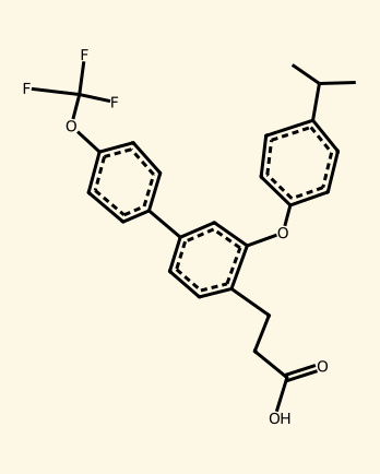 CC(C)c1ccc(Oc2cc(-c3ccc(OC(F)(F)F)cc3)ccc2CCC(=O)O)cc1